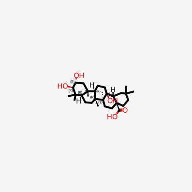 CC1(C)CC[C@]2(C(=O)O)CC[C@@]3(C)[C@]4(C)CC[C@H]5C(C)(C)[C@@H](O)[C@H](O)C[C@]5(C)[C@H]4CC[C@]3(O)[C@@H]2C1